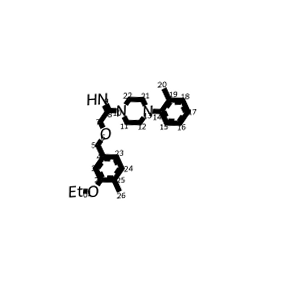 CCOc1cc(COCC(=N)N2CCN(c3ccccc3C)CC2)ccc1C